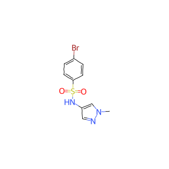 Cn1cc(NS(=O)(=O)c2ccc(Br)cc2)cn1